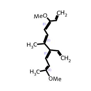 C=C\C(=C/C=C(C)/C(C=C)=C/C=C(\C)OC)OC